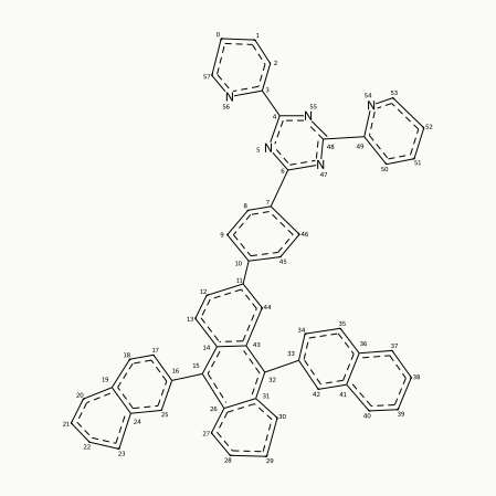 c1ccc(-c2nc(-c3ccc(-c4ccc5c(-c6ccc7ccccc7c6)c6ccccc6c(-c6ccc7ccccc7c6)c5c4)cc3)nc(-c3ccccn3)n2)nc1